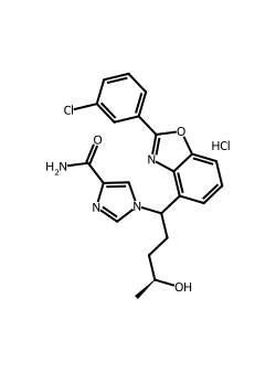 C[C@H](O)CCC(c1cccc2oc(-c3cccc(Cl)c3)nc12)n1cnc(C(N)=O)c1.Cl